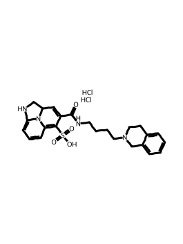 Cl.Cl.O=C(NCCCCN1CCc2ccccc2C1)C1=CC2CNC3=CC=CC(=C1S(=O)(=O)O)N32